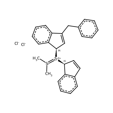 C[Si](C)=[Zr+2]([C@@H]1C=C(Cc2ccccc2)c2ccccc21)[C@H]1C=Cc2ccccc21.[Cl-].[Cl-]